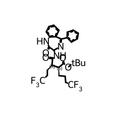 CC(C)(C)OC(=O)[C@@H](CCCC(F)(F)F)[C@@H](CCC(F)(F)F)C(=O)NC1N=C(c2ccccc2)c2ccccc2NC1=O